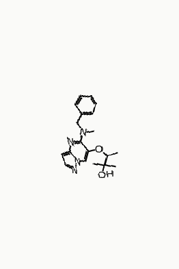 CC(Oc1cn2nccc2nc1N(C)Cc1ccccc1)C(C)(C)O